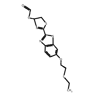 CCSCCOc1ccc2nc(C3=NC(OC=O)CS3)sc2c1